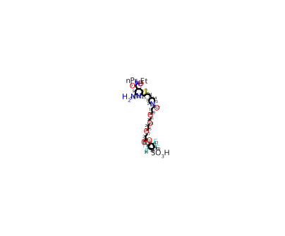 CCCN(OCC)C(=O)C1=Cc2sc(CC3CCN(C(=O)CCOCCOCCOCCC(=O)Oc4c(F)c(F)c(S(=O)(=O)O)c(F)c4F)CC3)cc2N=C(N)C1